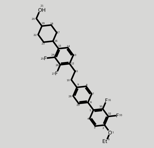 CCOc1ccc(-c2ccc(CCc3ccc(C4CCC(CO)CC4)c(F)c3F)cc2)c(F)c1F